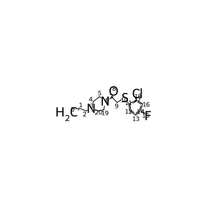 C=CCN1CCN(C(=O)CSc2ccc(F)cc2Cl)CC1